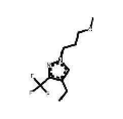 CCc1cn(CCCOC)nc1C(F)(F)F